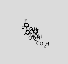 Cc1cc(-c2ccc(F)cc2F)cc(N(C(=O)NCCC(=O)O)c2c(O)cc(C)n(C)c2=O)c1